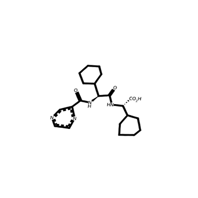 O=C(N[C@H](C(=O)N[C@H](C(=O)O)C1CCCCC1)C1CCCCC1)c1cnccn1